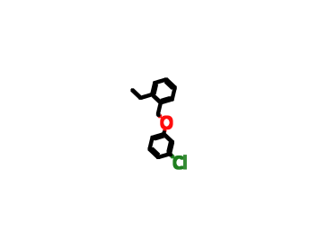 CCc1ccccc1COc1cccc(Cl)c1